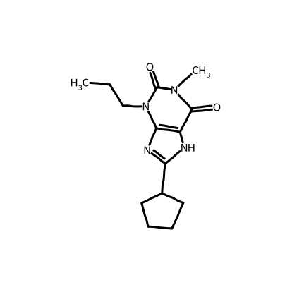 CCCn1c(=O)n(C)c(=O)c2[nH]c(C3CCCC3)nc21